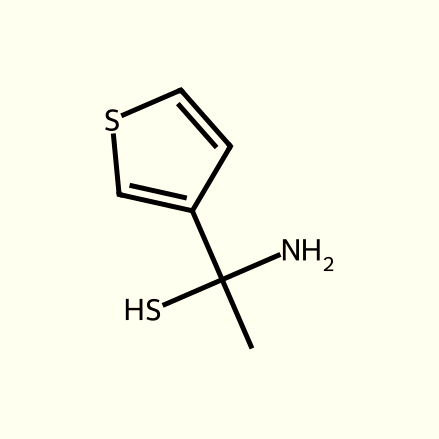 CC(N)(S)c1ccsc1